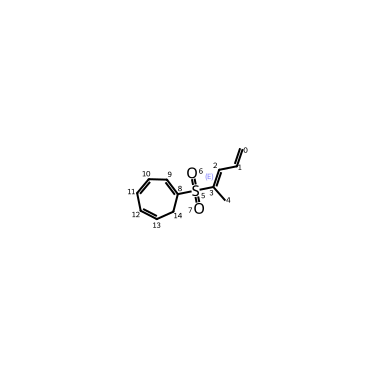 C=C/C=C(\C)S(=O)(=O)C1=CC=CC=CC1